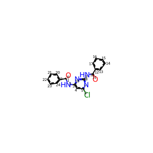 O=C(Nc1cc(Cl)nc(NC(=O)c2ccccc2)n1)c1ccccc1